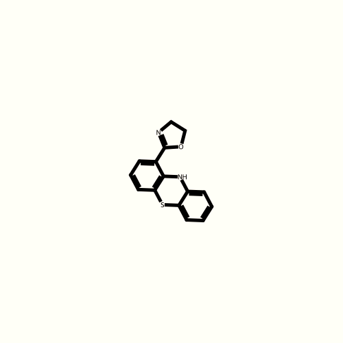 c1ccc2c(c1)Nc1c(cccc1C1=NCCO1)S2